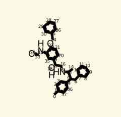 Cc1ccc(C(Cc2ccccc2)C(C)NCC(O)c2ccc(OCc3ccccc3)c(NC=O)c2)cc1